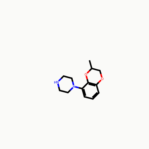 CC1COc2cccc(N3CCNCC3)c2O1